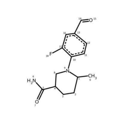 CC1CCC(C(N)=O)CN1c1ccc(C=O)cc1F